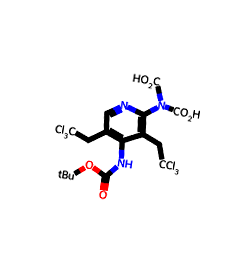 CC(C)(C)OC(=O)Nc1c(CC(Cl)(Cl)Cl)cnc(N(C(=O)O)C(=O)O)c1CC(Cl)(Cl)Cl